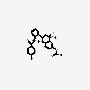 CC1(C)CC(c2ccccc2NC(=O)c2ccc(F)cc2)Nc2ccc(OC(=O)O)cc21